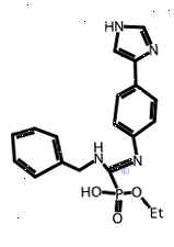 CCOP(=O)(O)/C(=N/c1ccc(-c2c[nH]cn2)cc1)NCc1ccccc1